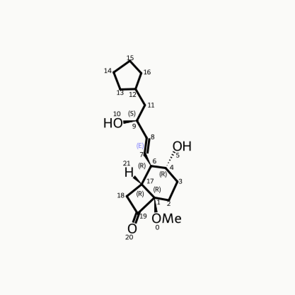 CO[C@]12CC[C@@H](O)[C@H](/C=C/[C@@H](O)CC3CCCC3)[C@H]1CC2=O